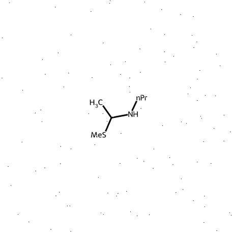 CCCNC(C)SC